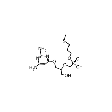 CSSCCOP(=O)(O)COC(CO)COc1cc(N)nc(N)n1